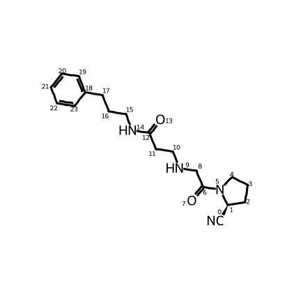 N#C[C@@H]1CCCN1C(=O)CNCCC(=O)NCCCc1ccccc1